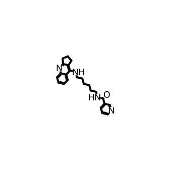 O=C(NCCCCCCNc1c2c(nc3ccccc13)CCC2)c1cccnc1